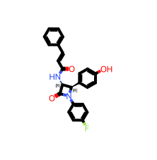 O=C(C=Cc1ccccc1)N[C@H]1C(=O)N(c2ccc(F)cc2)[C@@H]1c1ccc(O)cc1